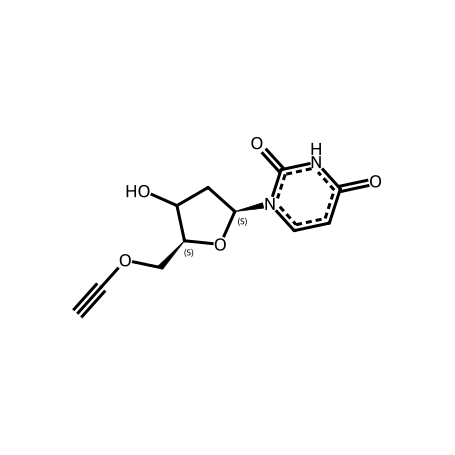 C#COC[C@@H]1O[C@H](n2ccc(=O)[nH]c2=O)CC1O